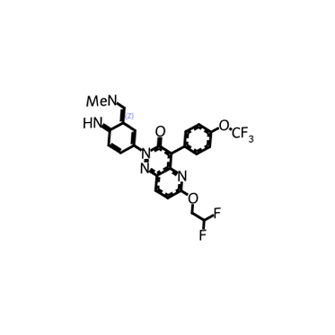 CN/C=C1/C=C(n2nc3ccc(OCC(F)F)nc3c(-c3ccc(OC(F)(F)F)cc3)c2=O)C=CC1=N